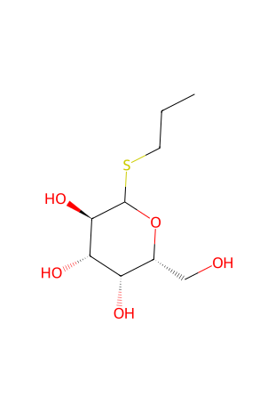 CCCSC1O[C@H](CO)[C@H](O)[C@H](O)[C@H]1O